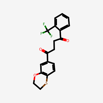 O=C(CCC(=O)c1ccccc1C(F)(F)F)c1ccc2c(c1)OCCS2